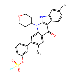 N#Cc1ccc2c(c1)[nH]c1c2c(=O)c2cc(C(F)(F)F)c(-c3cccc(OS(=O)(=O)F)c3)cc2n1C1CCOCC1